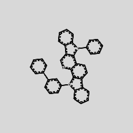 c1ccc(-c2cccc(-n3c4ccccc4c4ccc5c(ncc6c7ccccc7n(-c7ccccc7)c65)c43)c2)cc1